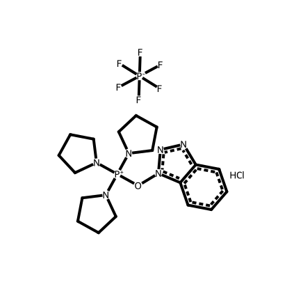 Cl.F[P-](F)(F)(F)(F)F.c1ccc2c(c1)nnn2O[P+](N1CCCC1)(N1CCCC1)N1CCCC1